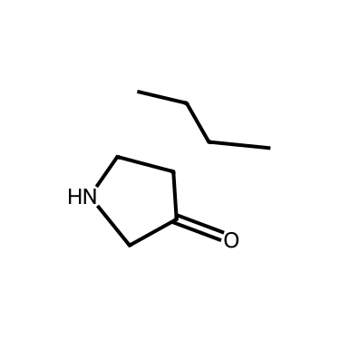 CCCC.O=C1CCNC1